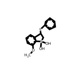 COc1cccc2c1S(O)(O)CC2Sc1ccccc1